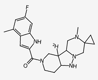 [2H]C12CN(C(=O)c3cc4c(C)cc(F)cc4[nH]3)CCC1NN1CC3(CC3)N(C)CC12